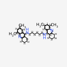 Cc1cc(C)c2nc3c(c(NCCCCCCNc4c5c(nc6c(C)cc(C)cc46)CCCC5)c2c1)CCCC3